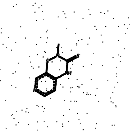 CN1Sc2cnccc2NC1=S